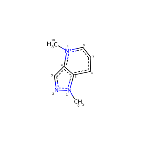 Cn1ncc2c1ccc[n+]2C